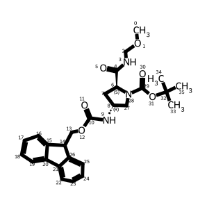 COCNC(=O)[C@@H]1C[C@@H](NC(=O)OCC2c3ccccc3-c3ccccc32)CN1C(=O)OC(C)(C)C